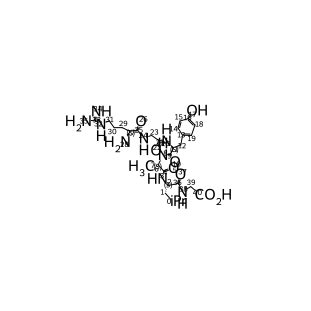 CC(C)C[C@H](NC(=O)[C@H](C)NC(=O)[C@H](Cc1ccc(O)cc1)NC(=O)CNC(=O)[C@@H](N)CCCNC(=N)N)C(=O)NCC(=O)O